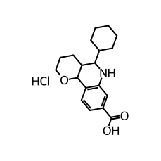 Cl.O=C(O)c1ccc2c(c1)NC(C1CCCCC1)C1CCCOC21